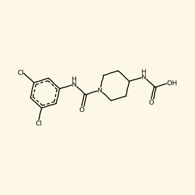 O=C(O)NC1CCN(C(=O)Nc2cc(Cl)cc(Cl)c2)CC1